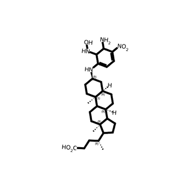 C[C@H](CCC(=O)O)C1CCC2[C@@H]3CC[C@@H]4C[C@H](NC5=CC=C([N+](=O)[O-])C(N)C5NO)CC[C@]4(C)C3CC[C@@]21C